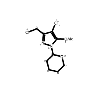 COc1c(C(F)(F)F)c(CCl)nn1C1CCCCO1